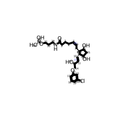 O=C(CCC/C=C\C[C@@H]1[C@@H](/C=C/[C@@H](O)COc2cccc(Cl)c2)[C@H](O)C[C@@H]1O)NCCCON(O)O